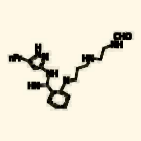 CCCc1cc(NC(=N)c2ccccc2/N=C/CCNCCNC=O)n[nH]1